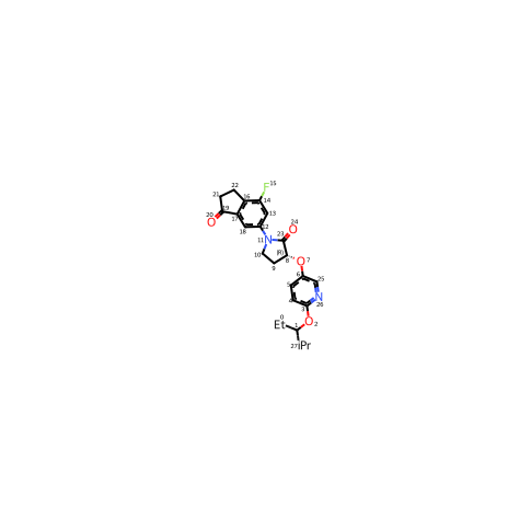 CCC(Oc1ccc(O[C@@H]2CCN(c3cc(F)c4c(c3)C(=O)CC4)C2=O)cn1)C(C)C